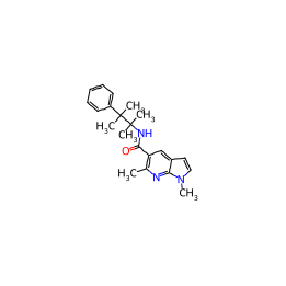 Cc1nc2c(ccn2C)cc1C(=O)NC(C)(C)C(C)(C)c1ccccc1